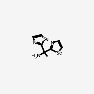 CC(N)(c1ncc[se]1)c1ncc[se]1